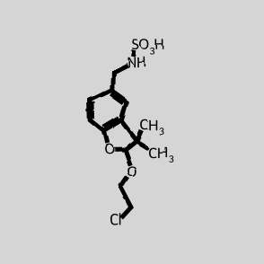 CC1(C)c2cc(CNS(=O)(=O)O)ccc2OC1OCCCl